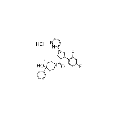 C[C@@H]1CN(C(=O)[C@@H]2CN(c3cccnn3)C[C@H]2c2ccc(F)cc2F)C[C@H](C)C1(O)c1ccccc1.Cl